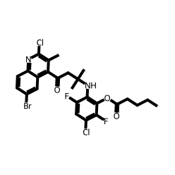 CCCCC(=O)Oc1c(F)c(Cl)cc(F)c1NC(C)(C)CC(=O)c1c(C)c(Cl)nc2ccc(Br)cc12